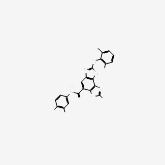 Cc1nc2c(o1)c(C(=O)Nc1ccc(F)c(C)c1)cc1nc(Nc3c(F)cccc3Cl)[nH]c12